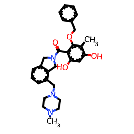 Cc1c(O)cc(O)c(C(=O)N2Cc3cccc(CN4CCN(C)CC4)c3C2)c1OCc1ccccc1